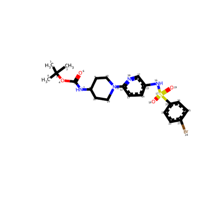 CC(C)(C)OC(=O)NC1CCN(c2ccc(NS(=O)(=O)c3ccc(Br)cc3)cn2)CC1